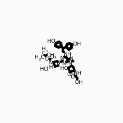 CC(C)(C)OC(=O)NC1CCN(c2nc(NCC(c3ccc(O)cc3)c3ccc(O)cc3)c3ncn([C@@H]4C[C@H](NC(=O)CO)[C@@H](O)[C@H]4O)c3n2)C1.Cl